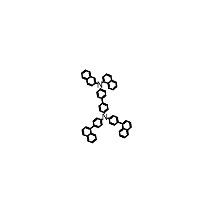 c1ccc2cc(N(c3ccc(-c4ccc(N(c5ccc(-c6cccc7ccccc67)cc5)c5ccc(-c6cccc7ccccc67)cc5)cc4)cc3)c3cccc4ccccc34)ccc2c1